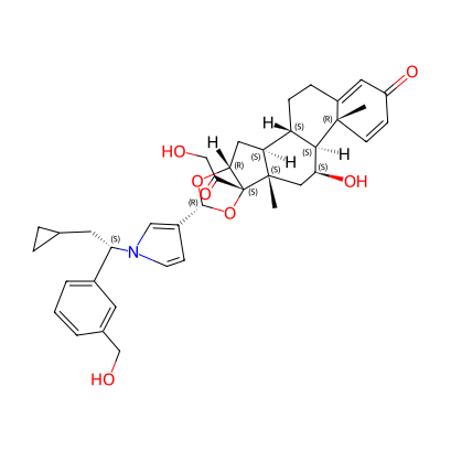 C[C@]12C=CC(=O)C=C1CC[C@@H]1[C@@H]2[C@@H](O)C[C@@]2(C)[C@H]1C[C@H]1O[C@@H](c3ccn([C@@H](CC4CC4)c4cccc(CO)c4)c3)O[C@]12C(=O)CO